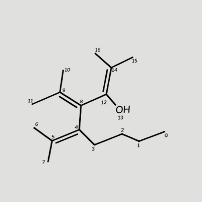 CCCCC(=C(C)C)C(=C(C)C)C(O)=C(C)C